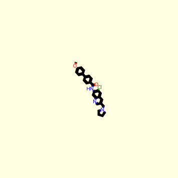 COc1ccc(-c2ccc(C(=O)Nc3cc4ncc(CN5CCCC5)cc4cc3Cl)cc2)cc1